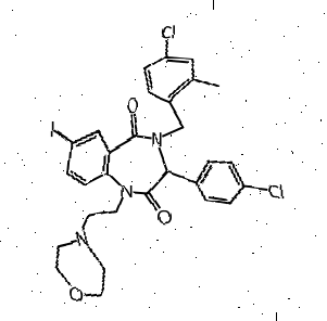 Cc1cc(Cl)ccc1CN1C(=O)c2cc(I)ccc2N(CCN2CCOCC2)C(=O)C1c1ccc(Cl)cc1